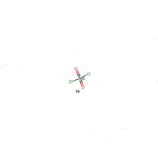 [Ni].[O]=[Mo](=[O])([Cl])[Cl]